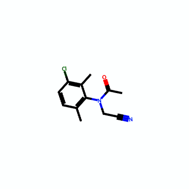 CC(=O)N(CC#N)c1c(C)ccc(Cl)c1C